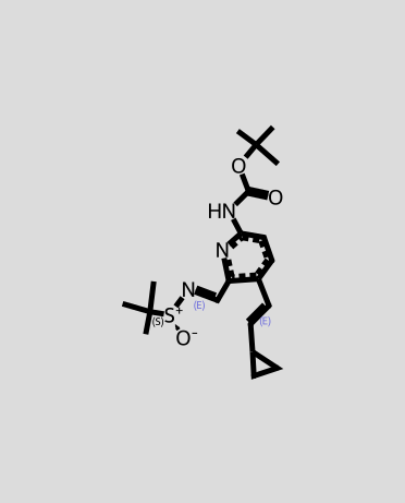 CC(C)(C)OC(=O)Nc1ccc(/C=C/C2CC2)c(/C=N/[S@+]([O-])C(C)(C)C)n1